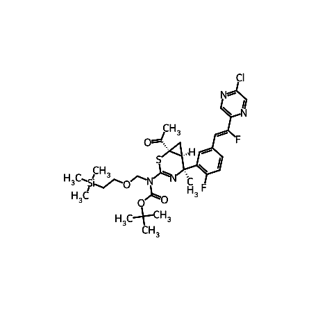 CC(=O)[C@]12C[C@H]1[C@@](C)(c1cc(/C=C(\F)c3cnc(Cl)cn3)ccc1F)N=C(N(COCC[Si](C)(C)C)C(=O)OC(C)(C)C)S2